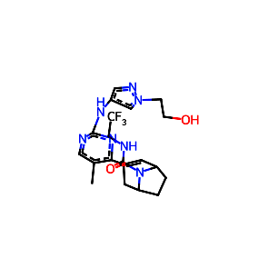 Cc1cnc(Nc2cnn(CCO)c2)nc1C1=CC2CCC(C1)N2C(=O)NCC(F)(F)F